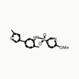 COc1ccc(S(=O)(=O)Nc2cc(-c3csc(C)c3)ccc2C)cn1